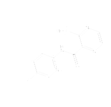 Cc1ccc(NC(=O)c2nccnc2C(=O)O)nc1